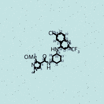 COc1nn(C)cc1C(=O)N[C@@H]1CCC[C@H](Nc2cc(C(F)(F)F)nc3ccc(Cl)cc23)C1